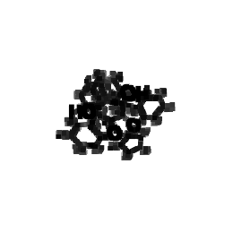 OC(c1ccccc1)(c1ccccc1)C1OC2(CCCC2)OC1C(O)(c1ccccc1)c1ccccc1